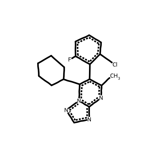 Cc1nc2ncnn2c(C2CCCCC2)c1-c1c(F)cccc1Cl